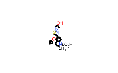 C[C@H]1CCc2c(ccc(-c3csc(N4CC(O)C4)n3)c2OC2CCC2)N1C(=O)O